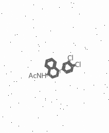 CC(=O)N[C@@H]1CC[C@@H](c2ccc(Cl)c(Cl)c2)c2ccccc21